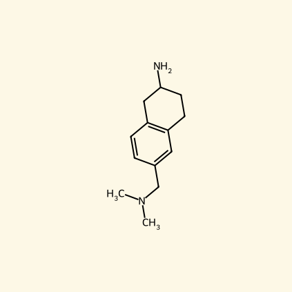 CN(C)Cc1ccc2c(c1)CCC(N)C2